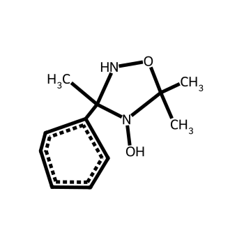 CC1(C)ONC(C)(c2ccccc2)N1O